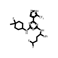 CCCC(CCC(F)F)Nc1nc(NC2CCC(C)(F)CC2)nc(-c2cn[nH]c2C(F)(F)F)n1